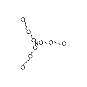 C(C=Cc1ccc(C=Cc2ccc(N(c3ccc(C=Cc4ccc(C=CC=Cc5ccccc5)cc4)cc3)c3ccc(C=Cc4ccc(C=CC=Cc5ccccc5)cc4)cc3)cc2)cc1)=Cc1ccccc1